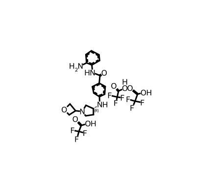 Nc1ccccc1NC(=O)c1ccc(N[C@@H]2CCN(C3COC3)C2)cc1.O=C(O)C(F)(F)F.O=C(O)C(F)(F)F.O=C(O)C(F)(F)F